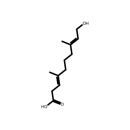 C/C(=C\CO)CCC/C(C)=C/CC(=O)O